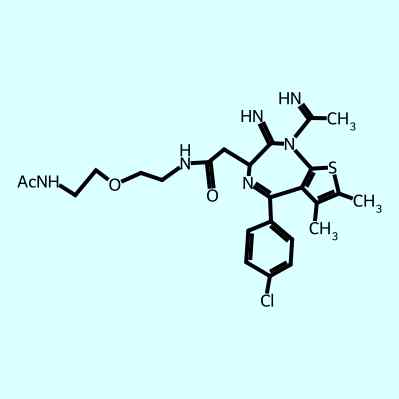 CC(=N)N1C(=N)C(CC(=O)NCCOCCNC(C)=O)N=C(c2ccc(Cl)cc2)c2c1sc(C)c2C